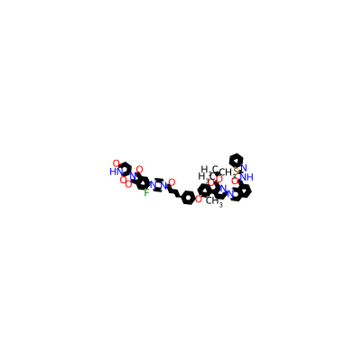 Cc1c(O[C@H]2CC[C@H](CCCC(=O)N3CCN(c4cc5c(cc4F)C(=O)N(C4CCC(=O)NC4=O)C5=O)CC3)CC2)cccc1-c1ccc(N2CCc3cccc(C(=O)Nc4nc5ccccc5s4)c3C2)nc1C(=O)OC(C)(C)C